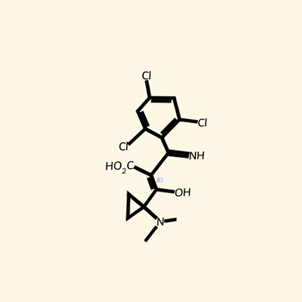 CN(C)C1(/C(O)=C(/C(=N)c2c(Cl)cc(Cl)cc2Cl)C(=O)O)CC1